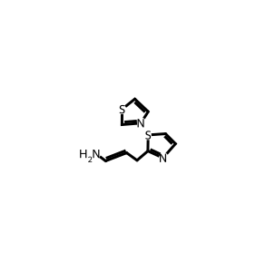 NC=CCc1nccs1.c1cscn1